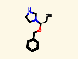 CC(C)(C)C[C@H](OCc1ccccc1)N1CCNC1